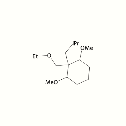 CCOCC1(CC(C)C)C(OC)CCCC1OC